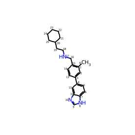 Cc1cc(-c2ccc3[nH]cnc3c2)ccc1CNCCC1CCCCC1